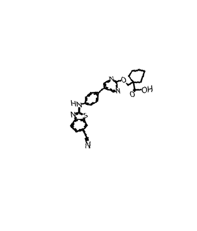 N#Cc1ccc2nc(Nc3ccc(-c4cnc(OCC5(C(=O)O)CCCCC5)nc4)cc3)sc2c1